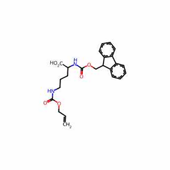 C=CCOC(=O)NCCCC(NC(=O)OCC1c2ccccc2-c2ccccc21)C(=O)O